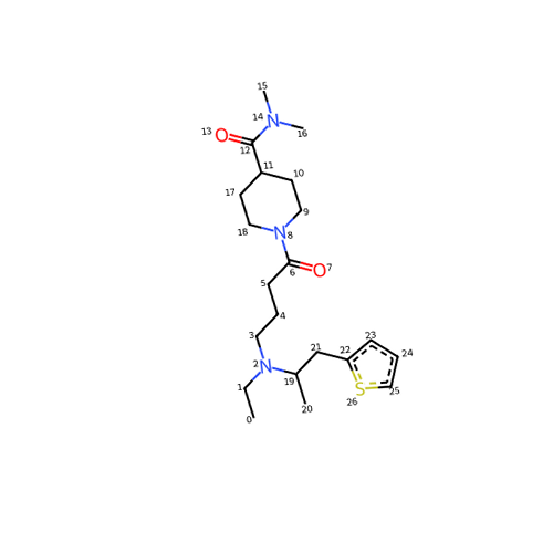 CCN(CCCC(=O)N1CCC(C(=O)N(C)C)CC1)C(C)Cc1cccs1